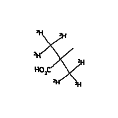 [2H]C([2H])([2H])C(C)(C(=O)O)C([2H])([2H])[2H]